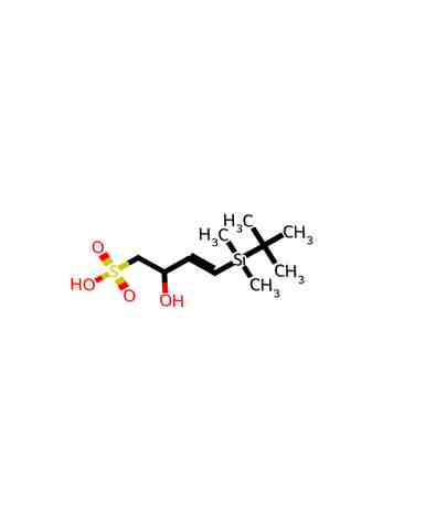 CC(C)(C)[Si](C)(C)/C=C/C(O)CS(=O)(=O)O